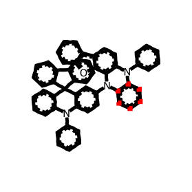 c1ccc(N(c2ccccc2)c2ccc3c(oc4ccccc43)c2N(c2ccccc2)c2ccc3c(c2)C2(c4ccccc4-c4ccccc42)c2ccccc2N3c2ccccc2)cc1